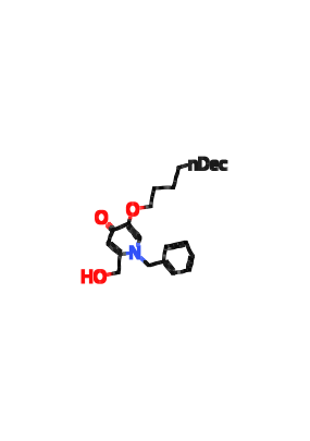 CCCCCCCCCCCCCCOc1cn(Cc2ccccc2)c(CO)cc1=O